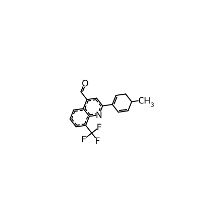 CC1C=CC(c2cc(C=O)c3cccc(C(F)(F)F)c3n2)=CC1